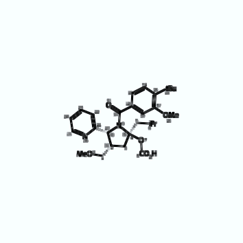 COC[C@H]1C[C@](CC(C)C)(OC(=O)O)N(C(=O)c2ccc(C(C)(C)C)c(OC)c2)[C@H]1c1ccccn1